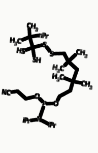 CCCC(C)(C)C(S)(S)SSCC(C)(C)CC(C)(C)CCOP(OCCC#N)N(C(C)C)C(C)C